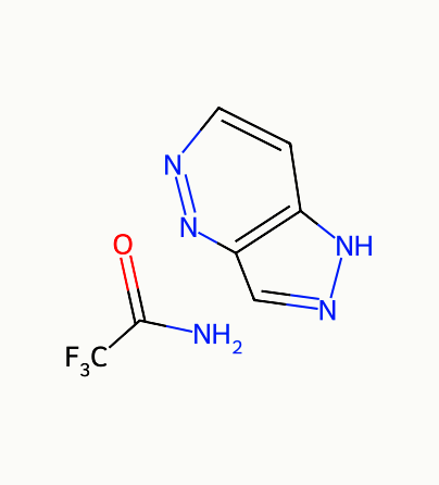 NC(=O)C(F)(F)F.c1cc2[nH]ncc2nn1